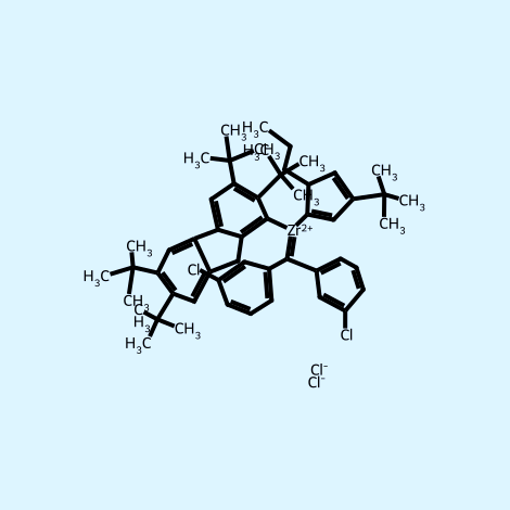 CCCC1C=C(C(C)(C)C)C=[C]1[Zr+2](=[C](c1cccc(Cl)c1)c1cccc(Cl)c1)[c]1c2c(cc(C(C)(C)C)c1C(C)(C)C)-c1cc(C(C)(C)C)c(C(C)(C)C)cc1C2.[Cl-].[Cl-]